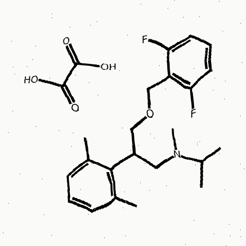 Cc1cccc(C)c1C(COCc1c(F)cccc1F)CN(C)C(C)C.O=C(O)C(=O)O